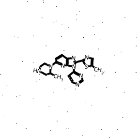 Cc1cnc(-c2nc3ccc(N4CCNCC4C)nc3n2-c2ccncn2)s1